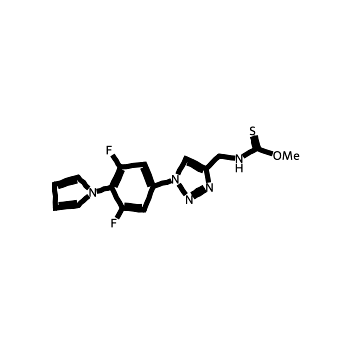 COC(=S)NCc1cn(-c2cc(F)c(-n3cccc3)c(F)c2)nn1